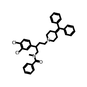 CN(CC(CCN1CCC(=C(c2ccccc2)c2ccccc2)CC1)c1ccc(Cl)c(Cl)c1)C(=O)c1ccccc1